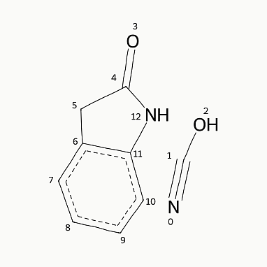 N#CO.O=C1Cc2ccccc2N1